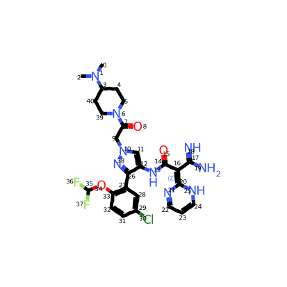 CN(C)C1CCN(C(=O)Cn2cc(NC(=O)/C(C(=N)N)=C3\N=CC=CN3)c(-c3cc(Cl)ccc3OC(F)F)n2)CC1